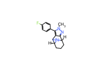 Cn1nc2c(c1-c1ccc(F)cc1)C[C@H]1CCC[C@@H]2N1